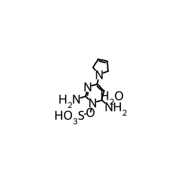 NC1=NC(N2CC=CC2)=CC(N)N1OS(=O)(=O)O.O